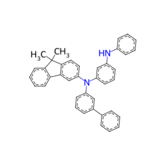 CC1(C)c2ccccc2-c2cc(N(c3cccc(Nc4ccccc4)c3)c3cccc(-c4ccccc4)c3)ccc21